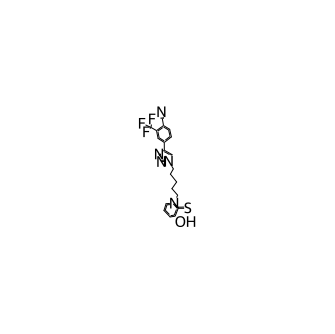 N#Cc1ccc(-c2cn(CCCCCn3cccc(O)c3=S)nn2)cc1C(F)(F)F